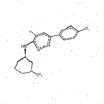 CN1CCC[C@@H](Nc2nnc(-c3ccc(C(F)(F)F)cc3)cc2Cl)C1